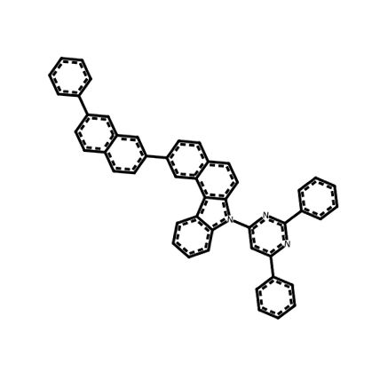 c1ccc(-c2ccc3ccc(-c4ccc5ccc6c(c5c4)c4ccccc4n6-c4cc(-c5ccccc5)nc(-c5ccccc5)n4)cc3c2)cc1